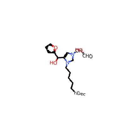 CCCCCCCCCCCCCCCN1CN(C)C=C1C(O)c1ccco1.O=CO